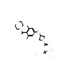 CC(C)(C)OC(=O)N1CC(Nc2cc(Cl)c(C(=O)N3CCOCC3)c(Cl)c2)C1